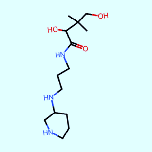 CC(C)(CO)C(O)C(=O)NCCCNC1CCCNC1